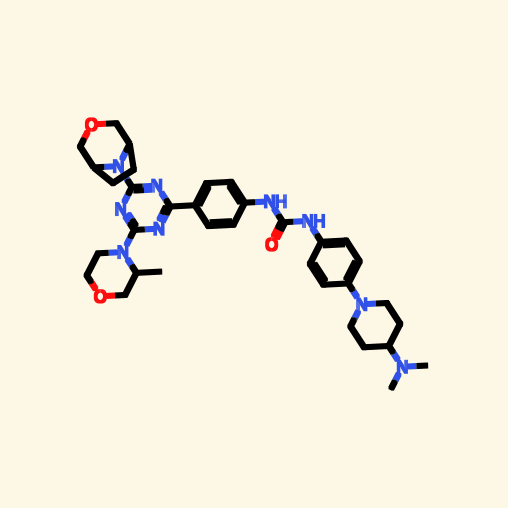 CC1COCCN1c1nc(-c2ccc(NC(=O)Nc3ccc(N4CCC(N(C)C)CC4)cc3)cc2)nc(N2C3CCC2COC3)n1